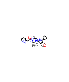 CC1CN(c2nc(C3CCCCC3)c3c(c2C#N)CCOC3)CCN1C(=O)Cc1ccccn1